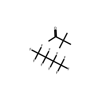 CC(=O)C(C)(C)C.FC(F)(F)C(F)(F)C(F)(F)C(F)(F)F